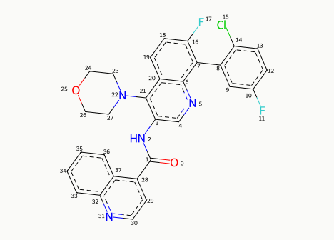 O=C(Nc1cnc2c(-c3cc(F)ccc3Cl)c(F)ccc2c1N1CCOCC1)c1ccnc2ccccc12